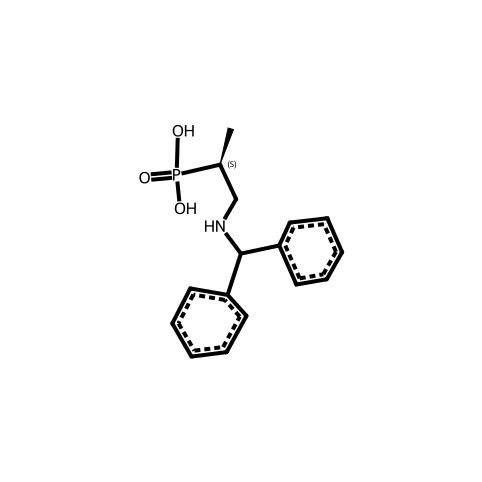 C[C@@H](CNC(c1ccccc1)c1ccccc1)P(=O)(O)O